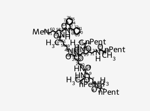 CCCCCC(C)C(=O)NCCCCC(NC(=O)C(C)CCCCC)C(=O)NCCCCC(NC(=O)C(CCCCNC(=O)C(C)CCCCC)NC(=O)C(C)CCCCC)C(=O)NCCCCC(C)C(=O)NC(CCCCNC)C(=O)NC(c1ccccc1)c1ccccc1